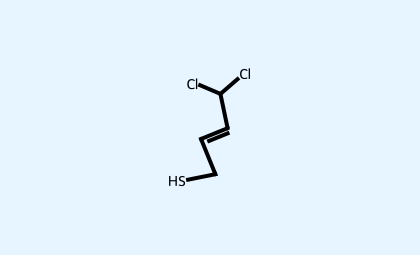 SCC=CC(Cl)Cl